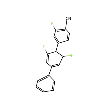 N#Cc1ccc(C2C(F)=CC(c3ccccc3)=CC2F)cc1F